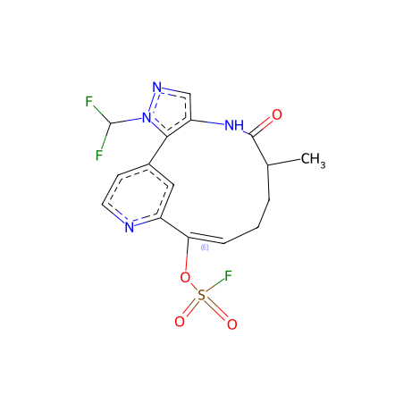 CC1CC/C=C(/OS(=O)(=O)F)c2cc(ccn2)-c2c(cnn2C(F)F)NC1=O